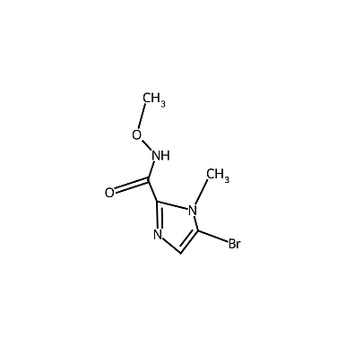 CONC(=O)c1ncc(Br)n1C